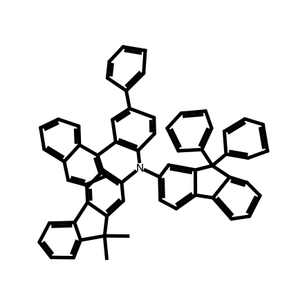 CC1(C)c2ccccc2-c2ccc(N(c3ccc4c(c3)C(c3ccccc3)(c3ccccc3)c3ccccc3-4)c3ccc(-c4ccccc4)cc3-c3cccc4ccccc34)cc21